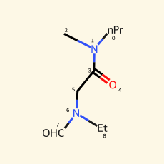 CCCN(C)C(=O)CN([C]=O)CC